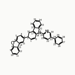 C1=CC(c2ccc3oc4ccccc4c3c2)Cc2c1n(-c1ccc(-c3ccccc3)cn1)c1ccccc21